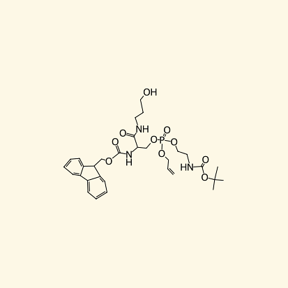 C=CCOP(=O)(OCCNC(=O)OC(C)(C)C)OCC(NC(=O)OCC1c2ccccc2-c2ccccc21)C(=O)NCCCO